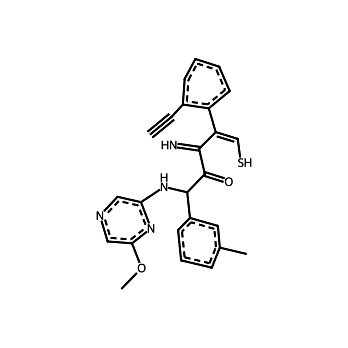 C#Cc1ccccc1/C(=C/S)C(=N)C(=O)C(Nc1cncc(OC)n1)c1cccc(C)c1